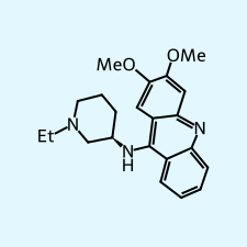 CCN1CCC[C@@H](Nc2c3ccccc3nc3cc(OC)c(OC)cc23)C1